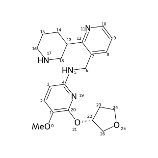 COc1ccc(NCc2cccnc2C2CCCNC2)nc1O[C@@H]1CCOC1